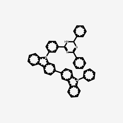 c1ccc(C2=NC(c3ccccc3)NC(c3cccc(-n4c5ccccc5c5ccc(-c6ccc7c(c6)c6ccccc6n7-c6ccccc6)cc54)c3)=N2)cc1